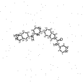 O=C(Nc1ccnnc1)n1cc2ccc(-c3nccc(Nc4ccc5[nH]ncc5c4)n3)cc2c1